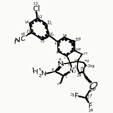 CC1=NC2(N=C1N)c1cc(-c3cc(Cl)cc(C#N)c3)ccc1CC21CCC(OC(F)F)CC1